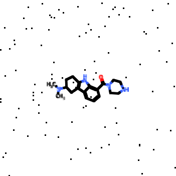 CN(C)C1CCc2[nH]c3c(C(=O)N4CCNCC4)cccc3c2C1